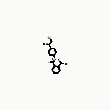 O=C(O)c1ccccc1C(=O)Nc1ccc(C(O)CO)cc1